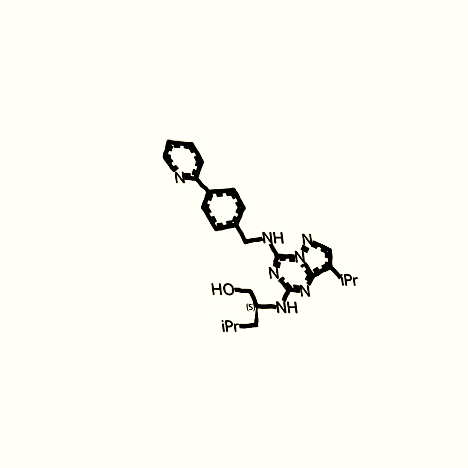 CC(C)C[C@@H](CO)Nc1nc(NCc2ccc(-c3ccccn3)cc2)n2ncc(C(C)C)c2n1